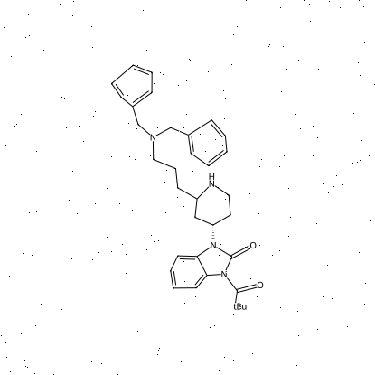 CC(C)(C)C(=O)n1c(=O)n([C@H]2CCNC(CCCN(Cc3ccccc3)Cc3ccccc3)C2)c2ccccc21